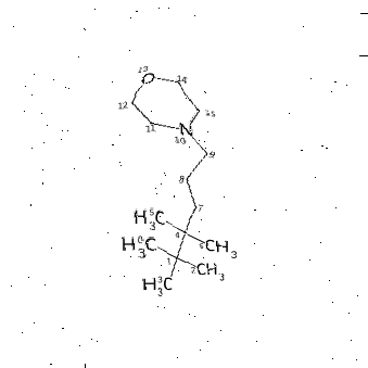 CC(C)(C)C(C)(C)CCCN1CCOCC1